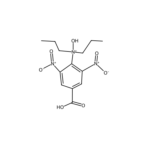 CCC[N+](O)(CCC)c1c([N+](=O)[O-])cc(C(=O)O)cc1[N+](=O)[O-]